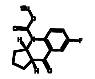 CC(C)(C)OC(=O)N1c2ccc(F)cc2C(=O)[C@@H]2CCC[C@@H]21